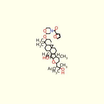 CC(=O)O[C@@H](C1C[C@@H](C)[C@H]2C(O1)[C@H](O)[C@@]1(C)C3CCC4C(C)(C)[C@@H](O[C@H]5CN(C(=O)c6ccco6)CCO5)CC[C@@]45CC35CC[C@]21C)C(C)(C)O